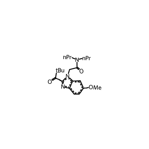 CCCN(CCC)C(=O)Cn1c(C(=O)C(C)(C)C)nc2ccc(OC)cc21